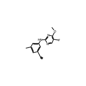 C#Cc1cc(C)cc(Nc2ncc(F)c(OC)n2)c1